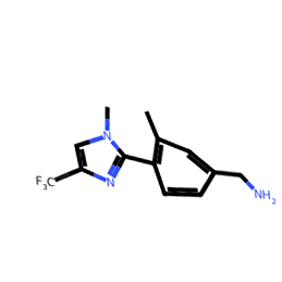 Cc1cc(CN)ccc1-c1nc(C(F)(F)F)cn1C